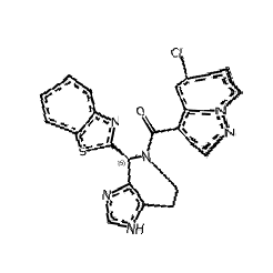 O=C(c1cnn2ccc(Cl)cc12)N1CCc2[nH]cnc2[C@H]1c1nc2ccccc2s1